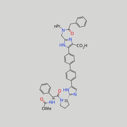 CCCN(Cc1nc(C(=O)O)c(-c2ccc(-c3ccc(-c4cnc([C@@H]5CCCN5C(=O)[C@H](NC(=O)OC)c5ccccc5)[nH]4)cc3)cc2)[nH]1)C(=O)Cc1ccccc1